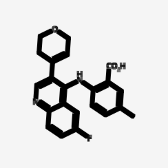 Cc1ccc(Nc2c(C3=CCOCC3)cnc3ccc(F)cc23)c(C(=O)O)c1